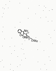 COCCC/C(N)=C(\C)c1c(N)c2ccccc2oc1=O